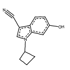 N#Cc1cn(C2CCC2)c2cc(O)ccc12